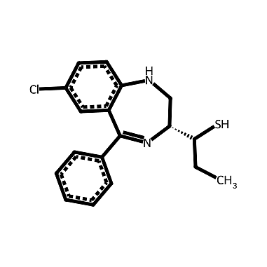 CCC(S)[C@H]1CNc2ccc(Cl)cc2C(c2ccccc2)=N1